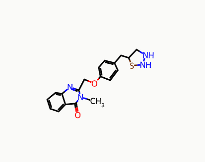 Cn1c(COc2ccc(CC3CNNS3)cc2)nc2ccccc2c1=O